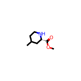 COC(=O)[C@@H]1CC(C)CCN1